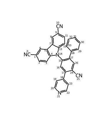 N#Cc1ccc2c(c1)c1cc(C#N)ccc1n2-c1cc(-c2ccncc2)c(C#N)cc1-c1ccccc1